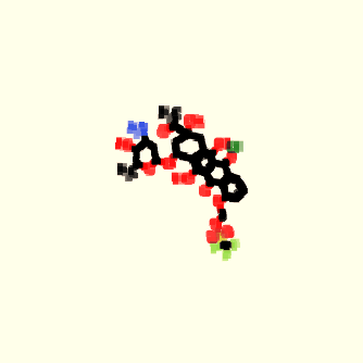 CC(=O)[C@]1(O)Cc2c(O)c3c(c(O)c2[C@@H](OC2CC(N)C(O)C(C)O2)C1)C(=O)c1c(OCOS(=O)(=O)C(F)(F)F)cccc1C3=O.Cl